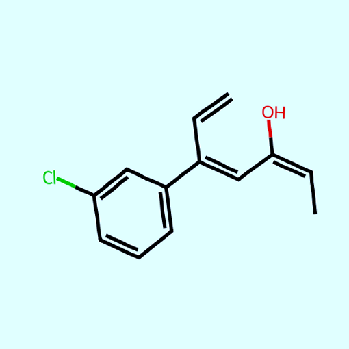 C=C/C(=C\C(O)=C/C)c1cccc(Cl)c1